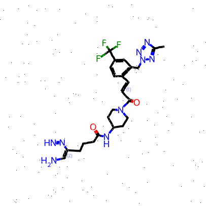 Cc1nnn(Cc2cc(C(F)(F)F)ccc2/C=C/C(=O)N2CCC(NC(=O)CCC/C(=C/N)N=N)CC2)n1